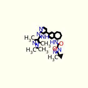 Cc1nn(C(C)C)c(C)c1-c1nc2nccc(-c3ccc4c(c3)CCCC[C@@H]4NC(=O)c3nc(C4(C)CC4)no3)c2[nH]1